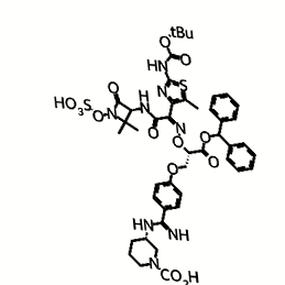 Cc1sc(NC(=O)OC(C)(C)C)nc1/C(=N/O[C@@H](COc1ccc(C(=N)N[C@H]2CCCN(C(=O)O)C2)cc1)C(=O)OC(c1ccccc1)c1ccccc1)C(=O)N[C@@H]1C(=O)N(OS(=O)(=O)O)C1(C)C